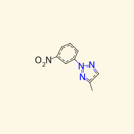 Cc1cnn(-c2cccc([N+](=O)[O-])c2)n1